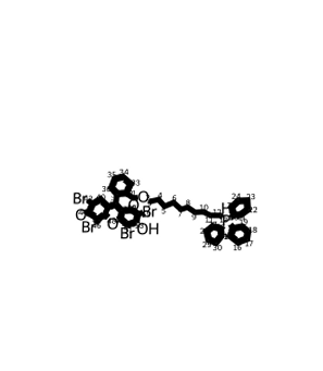 O=C(OCCCCCCCCCC[PH](c1ccccc1)(c1ccccc1)c1ccccc1)c1ccccc1-c1c2cc(Br)c(=O)c(Br)c-2oc2c(Br)c(O)c(Br)cc12